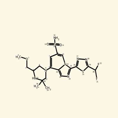 COCC1CN(c2cc(S(N)(=O)=O)cn3c(-c4nnc(C(F)F)s4)ncc23)CC(C)(C)N1